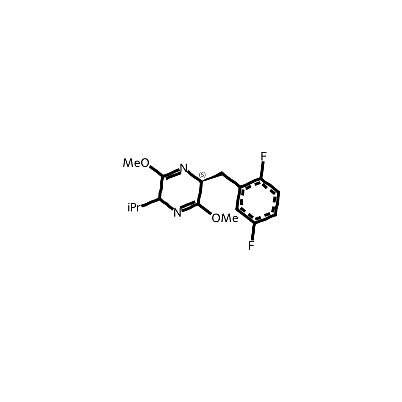 COC1=N[C@@H](Cc2cc(F)ccc2F)C(OC)=NC1C(C)C